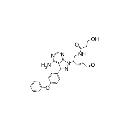 Nc1ncnc2c1c(-c1ccc(Oc3ccccc3)cc1)nn2C(/C=C/C=O)CNC(=O)CCO